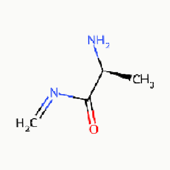 C=NC(=O)[C@H](C)N